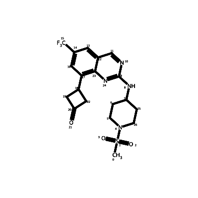 CS(=O)(=O)N1CCC(Nc2ncc3cc(C(F)(F)F)cc(C4CC(=O)C4)c3n2)CC1